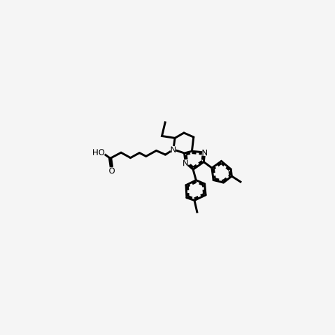 CCC1CCc2nc(-c3ccc(C)cc3)c(-c3ccc(C)cc3)nc2N1CCCCCCC(=O)O